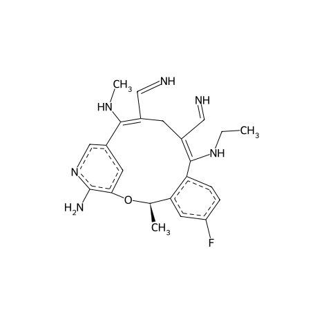 CCN/C1=C(\C=N)C/C(C=N)=C(/NC)c2cnc(N)c(c2)O[C@H](C)c2cc(F)ccc21